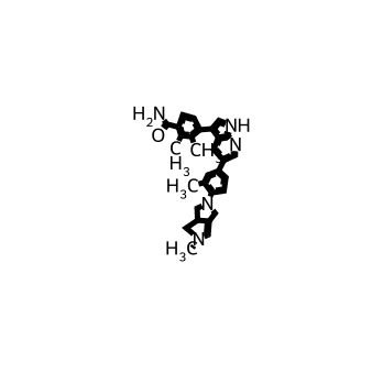 Cc1cc(-c2cnc3[nH]cc(-c4ccc(C(N)=O)c(C)c4C)c3c2)ccc1N1CC2=CN(C)CC2C1